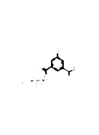 CC(C)N/N=N\C(=N)c1cc(N)cc(C(F)F)c1